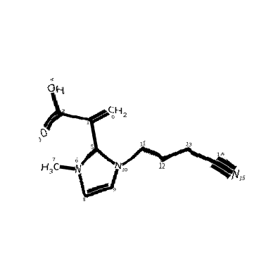 C=C(C(=O)O)C1N(C)C=CN1CCCC#N